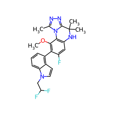 COc1c(-c2cccc3c2ccn3CC(F)F)c(F)cc2c1-n1c(C)nnc1C(C)(C)N2